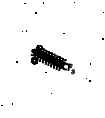 O=C1CSC(c2ccccc2)N1C(F)(F)C(F)(F)C(F)(F)C(F)(F)C(F)(F)C(F)(F)C(F)(F)C(F)(F)C(F)(F)C(F)(F)F